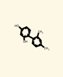 Cc1ccc(-c2ccc(O)cc2O)c(C)c1